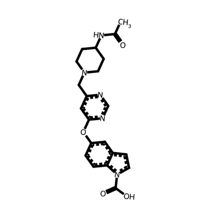 CC(=O)NC1CCN(Cc2cc(Oc3ccc4c(ccn4C(=O)O)c3)ncn2)CC1